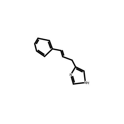 C(=Cc1ccccc1)Cc1c[nH]cn1